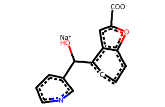 O=C([O-])c1cc2c(C(O)c3cccnc3)cccc2o1.[Na+]